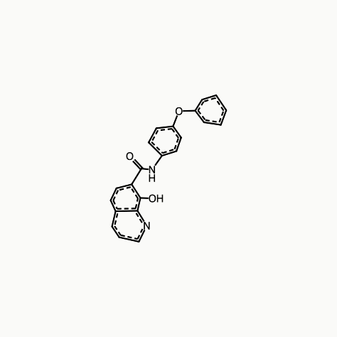 O=C(Nc1ccc(Oc2ccccc2)cc1)c1ccc2cccnc2c1O